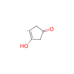 O=C1C[C]=C(O)C1